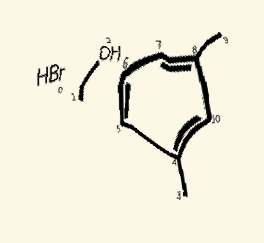 Br.CO.Cc1cccc(C)c1